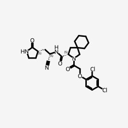 N#C[C@H](C[C@@H]1CCNC1=O)NC(=O)[C@@H]1CC2(CCCCC2)CN1C(=O)COc1ccc(Cl)cc1Cl